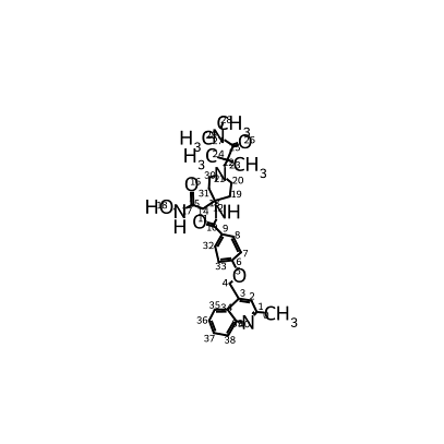 Cc1cc(COc2ccc(C(=O)NC3(CC(=O)NO)CCN(C(C)(C)C(=O)N(C)C)CC3)cc2)c2ccccc2n1